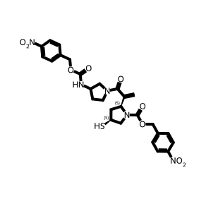 C=C(C(=O)N1CCC(NC(=O)OCc2ccc([N+](=O)[O-])cc2)C1)[C@@H]1C[C@H](S)CN1C(=O)OCc1ccc([N+](=O)[O-])cc1